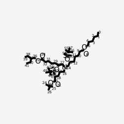 CCCCCCOC(=O)CCCCC(CN(CCCCC(=O)OC(C)(C)C)CC(CCCCC(=O)OCC(CC)CC)O[Si](C)(C)C(C)(C)C)O[Si](C)(C)C(C)(C)C